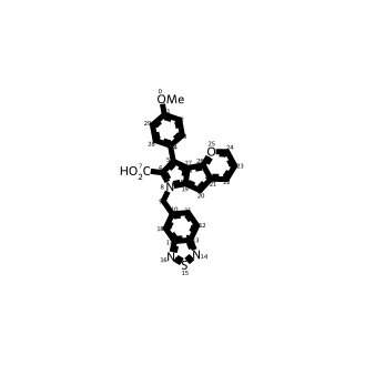 COc1ccc(-c2c(C(=O)O)n(Cc3ccc4nsnc4c3)c3cc4cccoc-4c23)cc1